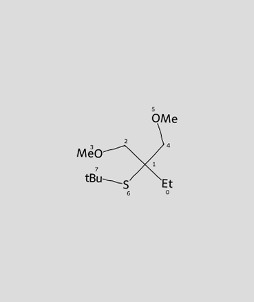 CCC(COC)(COC)SC(C)(C)C